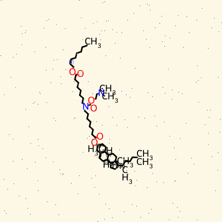 CCCCCC/C=C\COC(=O)CCCCCCCN(CCCCCCCC(=O)O[C@H]1CC[C@@]2(C)C(=CC[C@H]3[C@@H]4CC[C@H]([C@H](C)CCCC(C)C)[C@@]4(C)CC[C@@H]32)C1)C(=O)OCCN(C)C